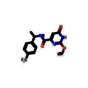 CCCOc1nc(C(=O)NC(C)c2ccc(C(F)(F)F)cc2)cc(=O)[nH]1